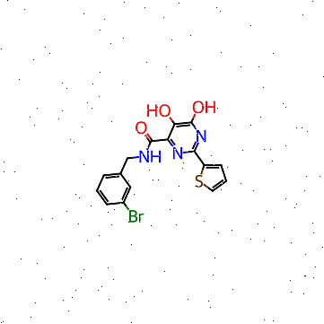 O=C(NCc1cccc(Br)c1)c1nc(-c2cccs2)nc(O)c1O